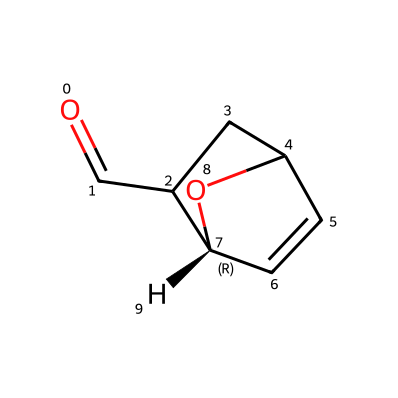 O=CC1CC2C=C[C@H]1O2